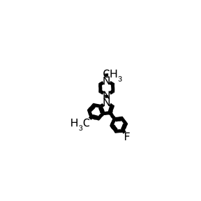 Cc1ccc2c(c1)c(-c1ccc(F)cc1)cn2N1CCN(C)CC1